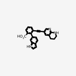 O=C(O)c1cccc(C#Cc2cnc3c(c2)CCCN3)c1-c1ccc2cc[nH]c2c1